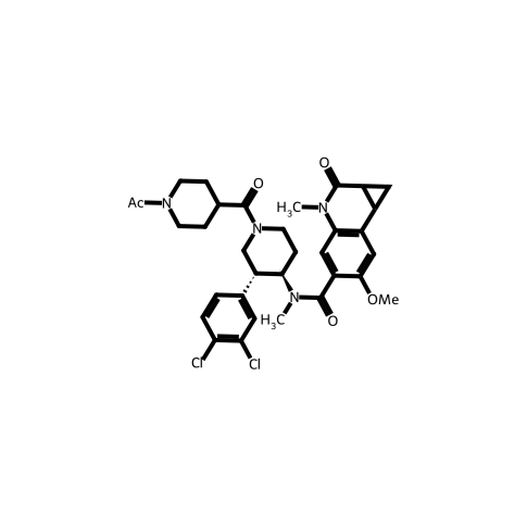 COc1cc2c(cc1C(=O)N(C)[C@@H]1CCN(C(=O)C3CCN(C(C)=O)CC3)C[C@H]1c1ccc(Cl)c(Cl)c1)N(C)C(=O)C1CC21